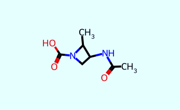 CC(=O)NC1CN(C(=O)O)C1C